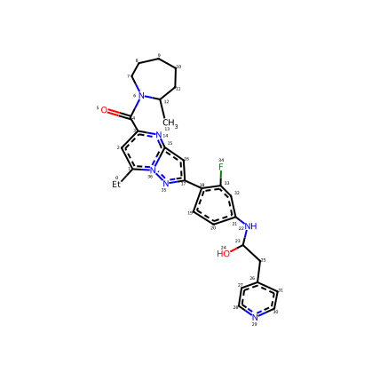 CCc1cc(C(=O)N2CCCCCC2C)nc2cc(-c3ccc(NC(O)Cc4ccncc4)cc3F)nn12